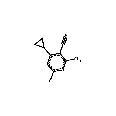 Cc1nc(Cl)cc(C2CC2)c1C#N